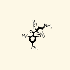 Cc1cc(C)c(C(=O)C(O)(P)C[CH]N)c(C)c1